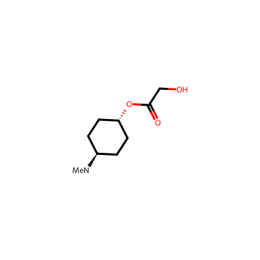 CN[C@H]1CC[C@H](OC(=O)CO)CC1